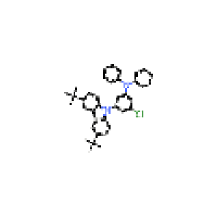 CC(C)(C)c1ccc2c(c1)c1cc(C(C)(C)C)ccc1n2-c1cc(Cl)cc(N(c2ccccc2)c2ccccc2)c1